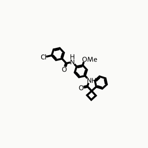 COc1cc(NC(=O)C2(c3ccccc3)CCC2)ccc1NC(=O)c1cccc(Cl)c1